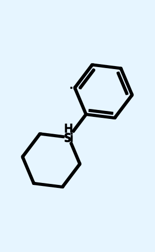 [c]1ccccc1[SiH]1CCCCC1